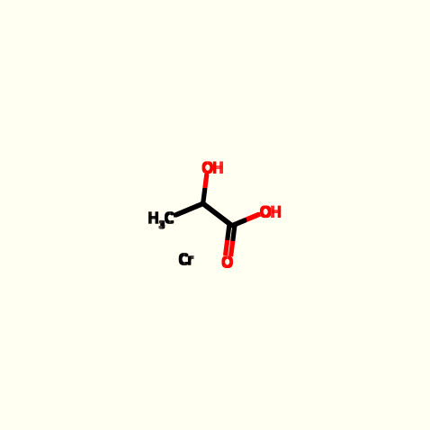 CC(O)C(=O)O.[Cr]